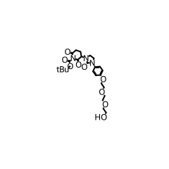 CC(C)(C)OC(=O)N1C(=O)CCC(N2CCN(c3ccc(OCCOCCOCCO)cc3)C2=O)C1=O